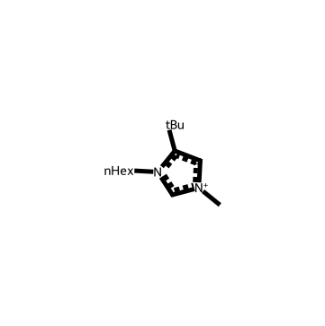 CCCCCCn1c[n+](C)cc1C(C)(C)C